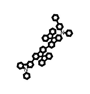 c1ccc(-c2ccc(N(c3ccccc3)c3ccc4c(c3)C3(c5ccccc5-c5ccccc53)c3cc(-c5ccc6c(c5)C5(c7ccccc7-c7ccccc75)c5cc(-c7ccc8c(c7)c7ccccc7n8-c7ccccc7)ccc5-6)ccc3-4)cc2)cc1